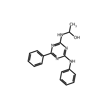 CC(O)Nc1nc(Nc2ccccc2)nc(-c2ccccc2)n1